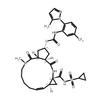 Cc1ccnn1-c1ccc(C(F)(F)F)cc1NC(=O)O[C@@H]1C[C@H]2C(=O)N[C@]3(C(=O)NS(=O)(=O)C4CC4)C[C@H]3/C=C\CCCCN(C)C(=O)[C@@H]2C1